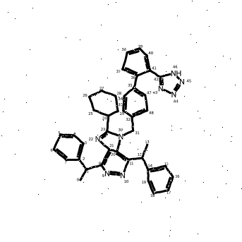 CC(c1ccccc1)c1nnc(C(C)c2ccccc2)c2c1nc(C1CCCCC1)n2Cc1ccc(-c2ccccc2-c2nnn[nH]2)cc1